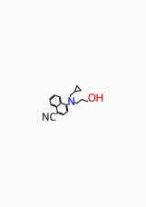 N#Cc1ccc(N(CCCO)CC2CC2)c2ccccc12